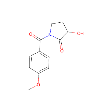 COc1ccc(C(=O)N2CCC(O)C2=O)cc1